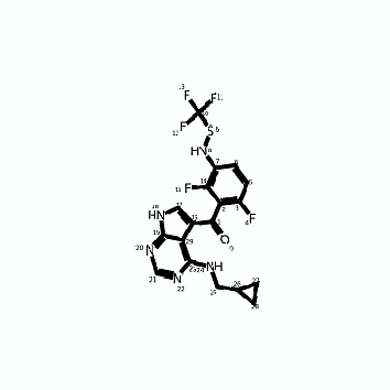 O=C(c1c(F)ccc(NSC(F)(F)F)c1F)c1c[nH]c2ncnc(NCC3CC3)c12